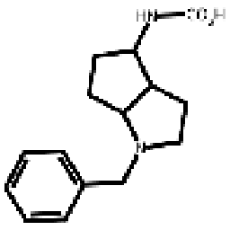 O=C(O)NC1CCC2C1CCN2Cc1ccccc1